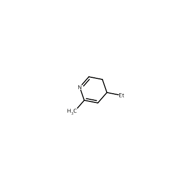 CCC1C=C(C)N=CC1